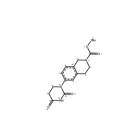 CC(C)(C)OC(=O)N1CCc2cc(N3CCC(=O)NC3=O)ccc2C1